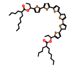 CCCCCCC(CCCC)C(=O)OC(CC)c1ccc(-c2ccc(-c3ccc(-c4ccc(-c5ccc(-c6ccc(C(CC)OC(=O)C(CCCC)CCCCCC)s6)s5)s4)s3)s2)s1